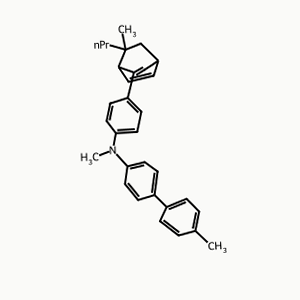 CCCC1(C)CC2C=CC1C(c1ccc(N(C)c3ccc(-c4ccc(C)cc4)cc3)cc1)=C2